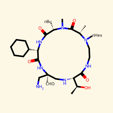 CCCCCCN1CCNC(=O)[C@H]([C@H](C)O)NC[C@@](C=O)(CN)NC(=O)[C@H](C2CCCCC2)NC(=O)[C@H](CCCC)N(C)C(=O)[C@@H]1C